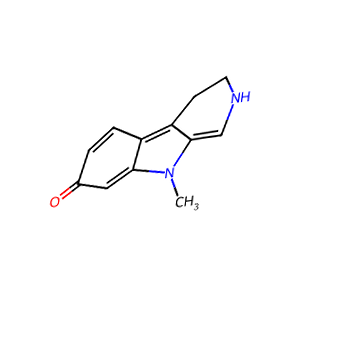 Cn1c2c(c3c1=CNCC3)C=CC(=O)C=2